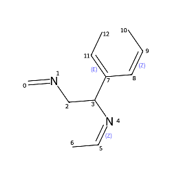 C=NCC(/N=C\C)C(/C=C\C)=C/C